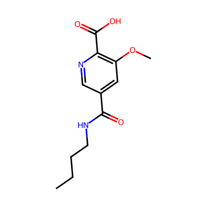 CCCCNC(=O)c1cnc(C(=O)O)c(OC)c1